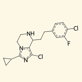 Fc1cc(CCC2NCCn3c(C4CC4)nc(Cl)c32)ccc1Cl